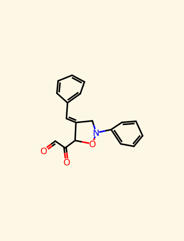 O=CC(=O)C1ON(c2ccccc2)CC1=Cc1ccccc1